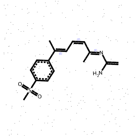 C=C(N)/N=C(C)/C=C\C=C(/C)c1ccc(S(C)(=O)=O)cc1